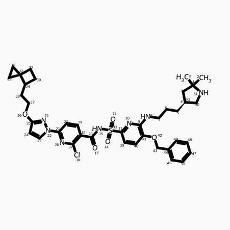 CC1(C)C[C@H](CCCNc2nc(S(=O)(=O)NC(=O)c3ccc(-n4ccc(OCCC5CCC56CC6)n4)nc3Cl)ccc2OCc2ccccc2)CN1